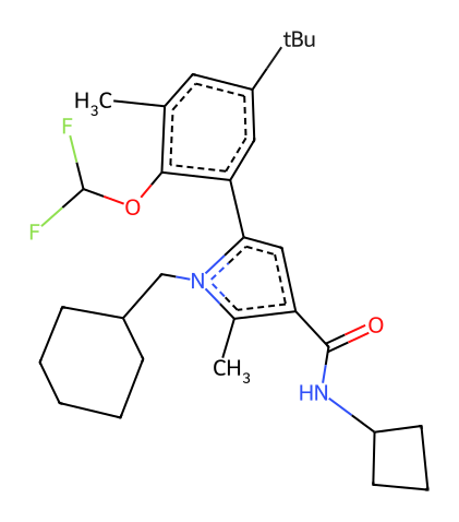 Cc1cc(C(C)(C)C)cc(-c2cc(C(=O)NC3CCC3)c(C)n2CC2CCCCC2)c1OC(F)F